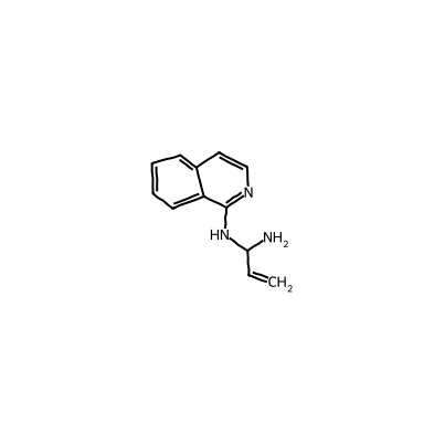 C=CC(N)Nc1nccc2ccccc12